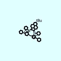 CC(C)(C)c1cc2ccc3c4cc(c5ccc(c1)c2c35)N(c1ccccc1C#N)c1cc(-c2ccccc2)ccc1Cc1ccc(-c2ccccc2)cc1N4c1ccccc1C#N